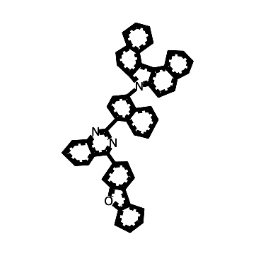 c1ccc2c(c1)ccc1c2c2c3ccccc3ccc2n1-c1ccc(-c2nc(-c3ccc4c(c3)oc3ccccc34)c3ccccc3n2)c2ccccc12